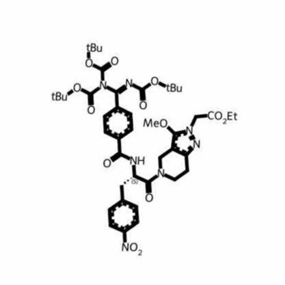 CCOC(=O)Cn1nc2c(c1OC)CN(C(=O)[C@H](Cc1ccc([N+](=O)[O-])cc1)NC(=O)c1ccc(C(=NC(=O)OC(C)(C)C)N(C(=O)OC(C)(C)C)C(=O)OC(C)(C)C)cc1)CC2